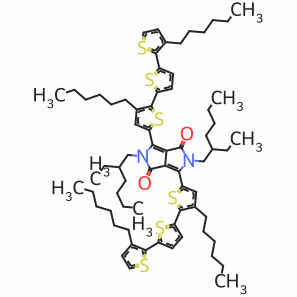 CCCCCCc1ccsc1-c1ccc(-c2sc(C3=C4C(=O)N(CC(CC)CCCC)C(c5cc(CCCCCC)c(-c6ccc(-c7sccc7CCCCCC)s6)s5)=C4C(=O)N3CC(CC)CCCC)cc2CCCCCC)s1